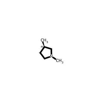 C[C@@H]1[CH]CN(C)C1